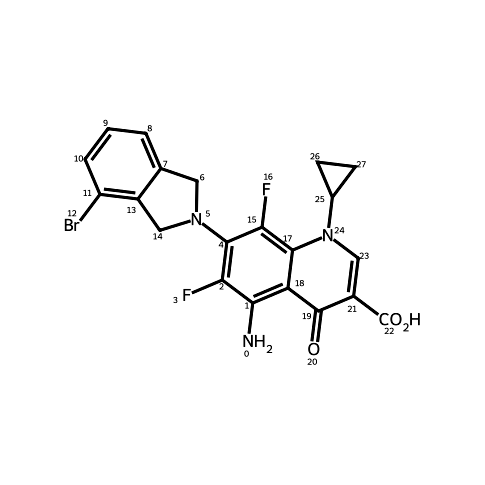 Nc1c(F)c(N2Cc3cccc(Br)c3C2)c(F)c2c1c(=O)c(C(=O)O)cn2C1CC1